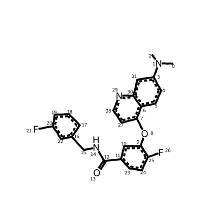 CN(C)c1ccc2c(Oc3cc(C(=O)NCc4cccc(F)c4)ccc3F)ccnc2c1